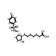 O=C(O)CCCCCC[C@@H]1[C@@H](CNS(=O)(=O)c2ccc(F)cc2)CC[C@H]1F